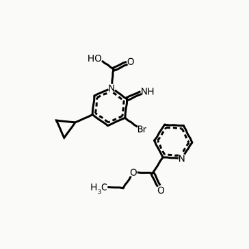 CCOC(=O)c1ccccn1.N=c1c(Br)cc(C2CC2)cn1C(=O)O